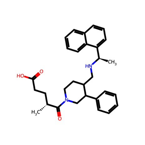 C[C@H](CCC(=O)O)C(=O)N1CCC(CN[C@H](C)c2cccc3ccccc23)C(c2ccccc2)C1